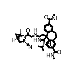 CNC(=O)c1ccc2c(c1)CCc1cc(C(=O)NC)ccc1C2(CCNCC(=O)N1[C@H](C#N)C[C@@H]2C[C@@H]21)C(=N)NC(C)C